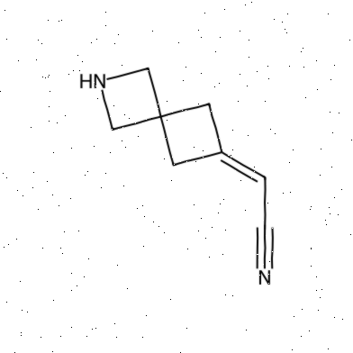 N#CC=C1CC2(CNC2)C1